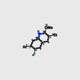 CCc1cc2cc(F)c(C(C)=O)cc2nc1OC